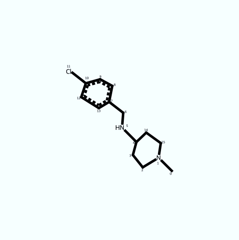 CN1CCC(NCc2ccc(Cl)cc2)CC1